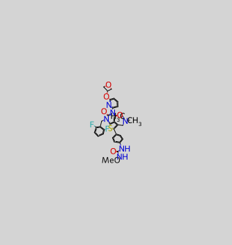 CONC(=O)Nc1ccc(-c2sc3c(c2CN(C)C)c(=O)n(-c2cccc(OC4COC4)n2)c(=O)n3Cc2c(F)cccc2F)cc1